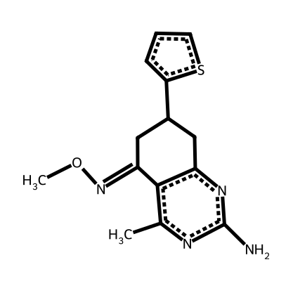 CON=C1CC(c2cccs2)Cc2nc(N)nc(C)c21